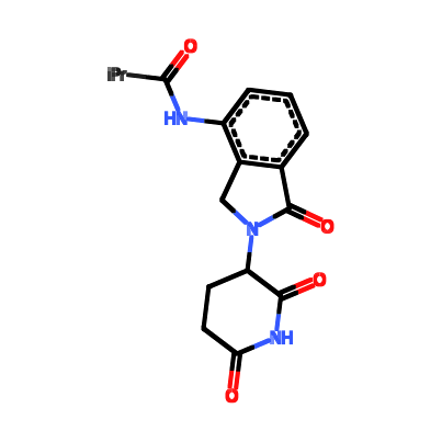 CC(C)C(=O)Nc1cccc2c1CN(C1CCC(=O)NC1=O)C2=O